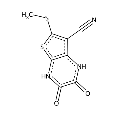 CSc1sc2[nH]c(=O)c(=O)[nH]c2c1C#N